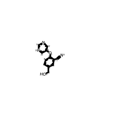 N#Cc1cc(CO)ccc1Oc1cncnc1